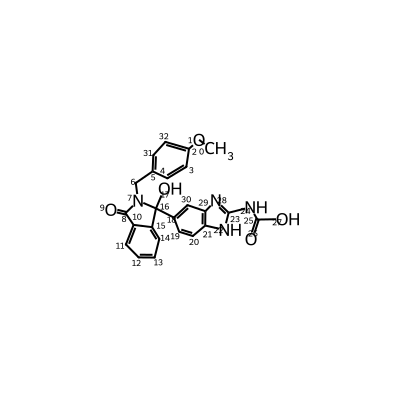 COc1ccc(CN2C(=O)c3ccccc3C2(O)c2ccc3[nH]c(NC(=O)O)nc3c2)cc1